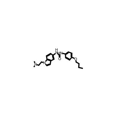 CCCCOc1ccc(NC(=O)Nc2ccc3c(ccn3CCN(C)C)c2)cc1